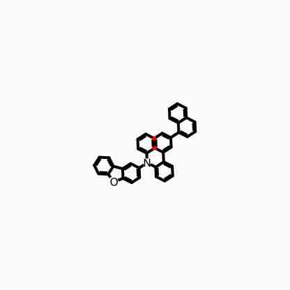 c1ccc(N(c2ccc3oc4ccccc4c3c2)c2ccccc2-c2cccc(-c3cccc4ccccc34)c2)cc1